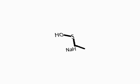 CCSO.[NaH]